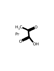 CC(=O)C(=O)O.[Pr]